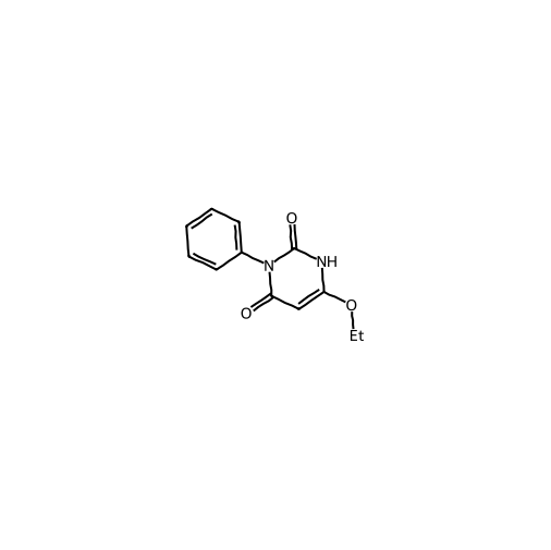 CCOc1cc(=O)n(-c2ccccc2)c(=O)[nH]1